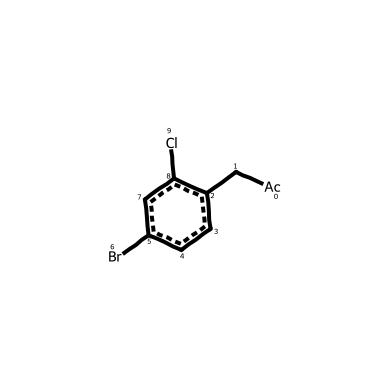 CC(=O)Cc1ccc(Br)cc1Cl